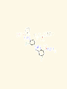 COC(=O)C(F)(F)F.NC(=O)c1cc(F)cc2cn(-c3ccc(NCC4(CO)CCCC4)c(F)c3)nc12